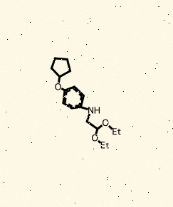 CCOC(CNc1ccc(OC2CCCC2)cc1)OCC